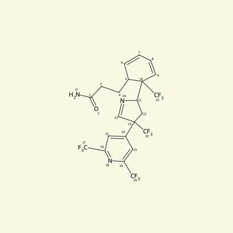 NC(=O)CCC1C=CC=CC1(C1CC(c2cc(C(F)(F)F)nc(C(F)(F)F)c2)(C(F)(F)F)C=N1)C(F)(F)F